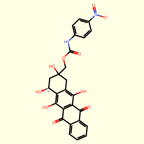 O=C(Nc1ccc([N+](=O)[O-])cc1)OCC1(O)Cc2c(O)c3c(c(O)c2[C@@H](O)C1)C(=O)c1ccccc1C3=O